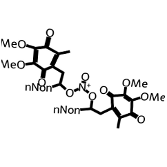 CCCCCCCCCC(CC1=C(C)C(=O)C(OC)=C(OC)C1=O)O[N+](=O)OC(CCCCCCCCC)CC1=C(C)C(=O)C(OC)=C(OC)C1=O